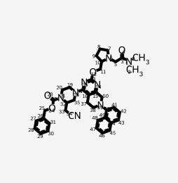 CN(C)C(=O)CN1CCCC1COc1nc2c(c(N3CCN(C(=O)OCc4ccccc4)C(CC#N)C3)n1)CCN(c1cccc3ccccc13)C2